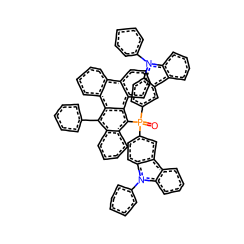 O=P(c1ccc2c(c1)c1ccccc1n2-c1ccccc1)(c1ccc2c(c1)c1ccccc1n2-c1ccccc1)c1c2ccccc2c(-c2ccccc2)c2c3ccccc3c3ccccc3c12